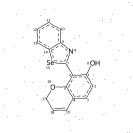 Oc1ccc2c(c1-c1nc3ccccc3[se]1)OCC=C2